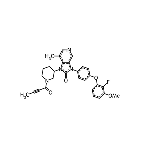 CC#CC(=O)N1CCCC(n2c(=O)n(-c3ccc(Oc4cccc(OC)c4F)cc3)c3cncc(C)c32)C1